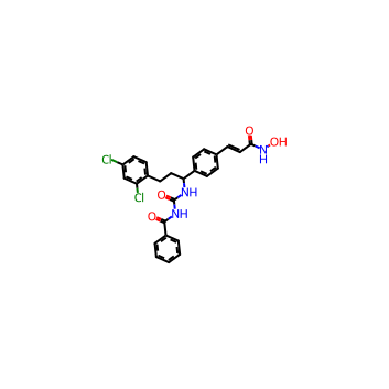 O=C(C=Cc1ccc(C(CCc2ccc(Cl)cc2Cl)NC(=O)NC(=O)c2ccccc2)cc1)NO